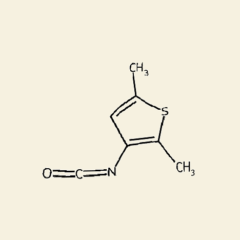 Cc1cc(N=C=O)c(C)s1